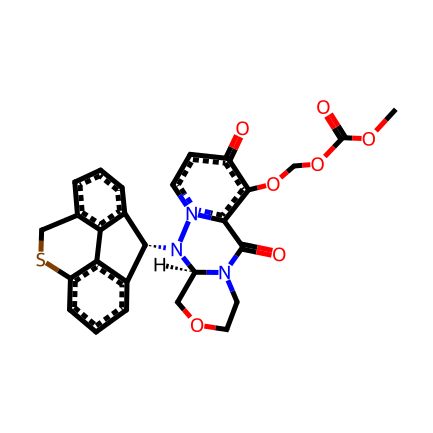 COC(=O)OCOc1c2n(ccc1=O)N([C@H]1c3cccc4c3-c3c(cccc31)SC4)[C@@H]1COCCN1C2=O